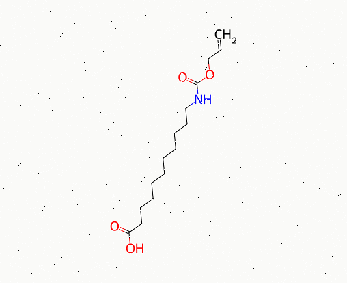 C=CCOC(=O)NCCCCCCCCCCC(=O)O